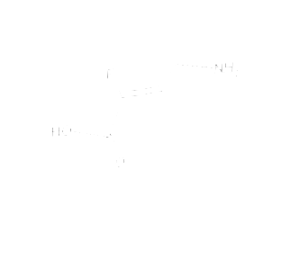 NC/C=C(\F)C(=O)O